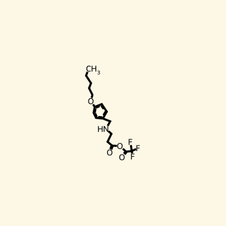 CCCCCOc1ccc(CNCCC(=O)OC(=O)C(F)(F)F)cc1